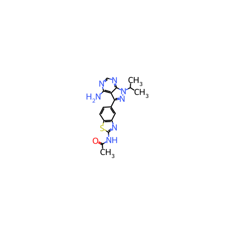 CC(=O)Nc1nc2cc(-c3nn(C(C)C)c4ncnc(N)c34)ccc2s1